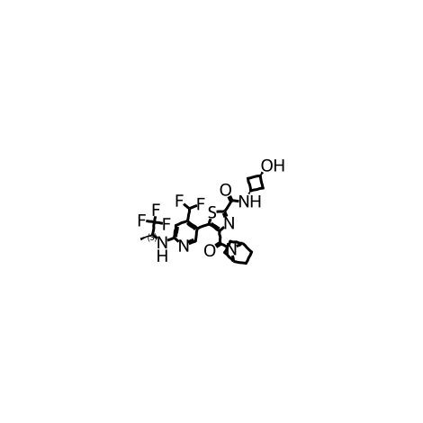 C[C@H](Nc1cc(C(F)F)c(-c2sc(C(=O)N[C@H]3C[C@H](O)C3)nc2C(=O)N2C3CCC2CC3)cn1)C(F)(F)F